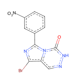 O=c1[nH]ncc2c(Br)nc(-c3cccc([N+](=O)[O-])c3)n12